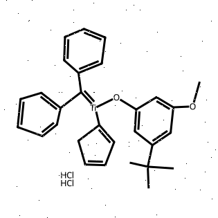 COc1cc([O][Ti]([C]2=CC=CC2)=[C](c2ccccc2)c2ccccc2)cc(C(C)(C)C)c1.Cl.Cl